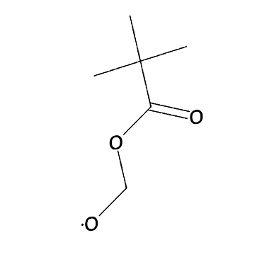 CC(C)(C)C(=O)OC[O]